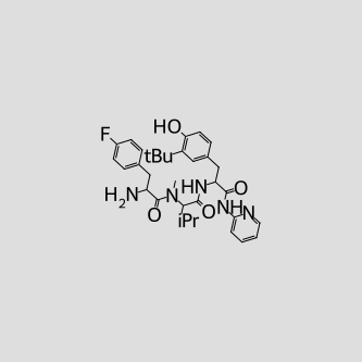 CC(C)C(C(=O)NC(Cc1ccc(O)c(C(C)(C)C)c1)C(=O)Nc1ccccn1)N(C)C(=O)C(N)Cc1ccc(F)cc1